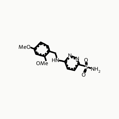 COc1ccc(CNc2ccc(S(N)(=O)=O)nn2)c(OC)c1